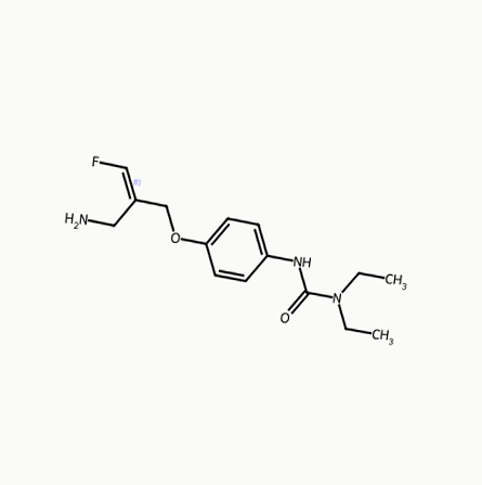 CCN(CC)C(=O)Nc1ccc(OC/C(=C/F)CN)cc1